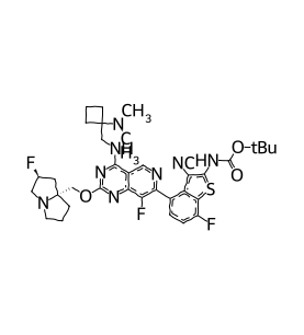 CN(C)C1(CNc2nc(OC[C@]34CCCN3C[C@@H](F)C4)nc3c(F)c(-c4ccc(F)c5sc(NC(=O)OC(C)(C)C)c(C#N)c45)ncc23)CCC1